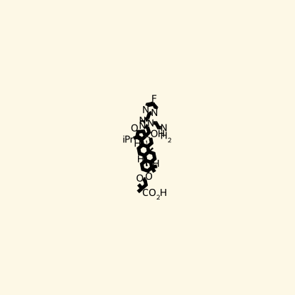 CC(C)C1=C2[C@H]3CC[C@@H]4[C@@]5(C)CC[C@H](OC(=O)CC(C)(C)C(=O)O)C(C)(C)[C@@H]5CC[C@@]4(C)[C@]3(C)CC[C@@]2([C@@H](O)c2nnc(-c3ncc(F)cn3)n2CCN)CC1=O